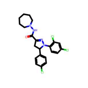 O=C(NN1CCCCCC1)C1=NN(c2ccc(Cl)cc2Cl)C(c2ccc(Cl)cc2)C1